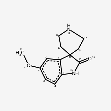 COc1ccc2c(c1)C1(CCNCC1)C(=O)N2